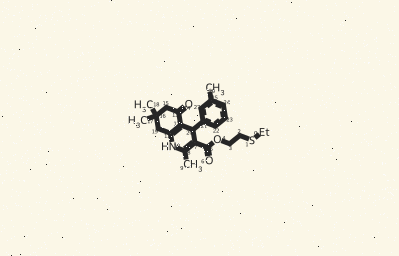 CCSCCOC(=O)C1=C(C)NC2=C(C(=O)CC(C)(C)C2)C1c1cccc(C)c1